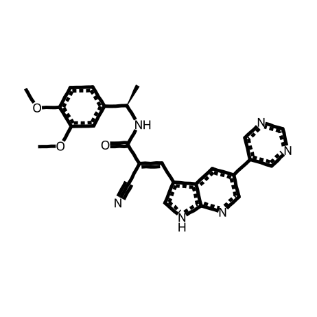 COc1ccc([C@@H](C)NC(=O)/C(C#N)=C/c2c[nH]c3ncc(-c4cncnc4)cc23)cc1OC